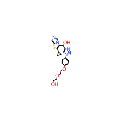 OCCOCCOc1ccc(-n2cc(C(O)c3c(C4CC4)sc4cncn34)nn2)cc1